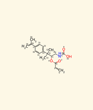 C=CC(=O)OC(CNC(=O)O)C(C)(C)c1ccc(C(=C)C)cc1